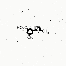 Cc1c[nH]c(-c2cc(C(=O)O)cc(C(F)(F)F)c2)n1